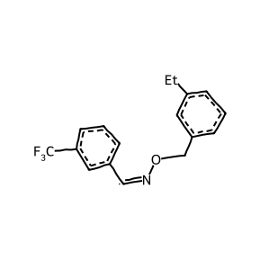 CCc1cccc(CO/N=[C]\c2cccc(C(F)(F)F)c2)c1